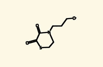 [O]CCCN1CCSC(=O)C1=O